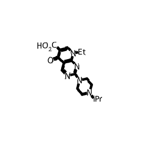 CCn1cc(C(=O)O)c(=O)c2cnc(N3CCN(C(C)C)CC3)nc21